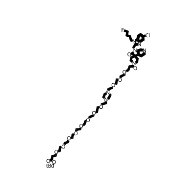 CC(C)(C)OC(=O)CCOCCOCCOCCOCCOCCOCCOCCOCCN1CCN(CCOCCOCCOCCC(=O)N2CCC3(CC2)C(=O)N(Cc2nc4cc(Cl)ccc4n2CCCCF)c2cnccc23)CC1